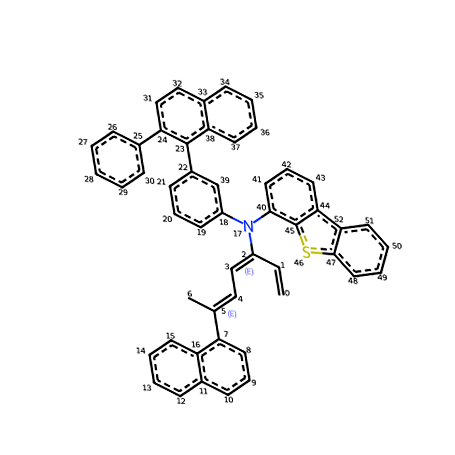 C=C/C(=C\C=C(/C)c1cccc2ccccc12)N(c1cccc(-c2c(-c3ccccc3)ccc3ccccc23)c1)c1cccc2c1sc1ccccc12